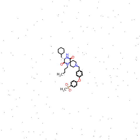 CCCCN1C(=O)[C@H](CC2CCCCC2)NC(=O)C12CCN(Cc1ccc(Oc3ccc(S(C)(=O)=O)cc3)cc1)CC2